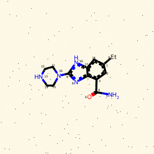 CCc1cc(C(N)=O)c2nc(N3CCNCC3)[nH]c2c1